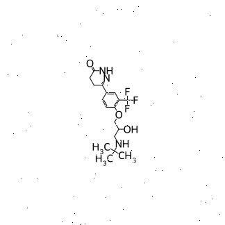 CC(C)(C)NCC(O)COc1ccc(C2=NNC(=O)CC2)cc1C(F)(F)F